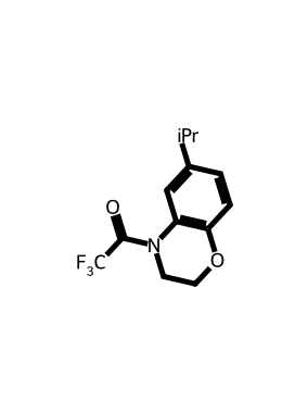 CC(C)c1ccc2c(c1)N(C(=O)C(F)(F)F)CCO2